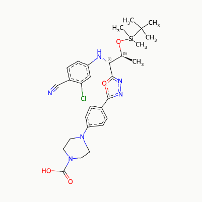 C[C@H](O[Si](C)(C)C(C)(C)C)[C@@H](Nc1ccc(C#N)c(Cl)c1)c1nnc(-c2ccc(N3CCN(C(=O)O)CC3)cc2)o1